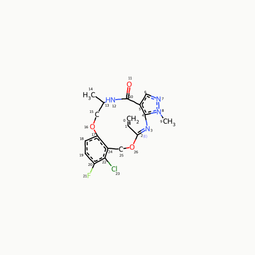 C=C/C1=N\c2c(cnn2C)C(=O)NC(C)COc2ccc(F)c(Cl)c2CO1